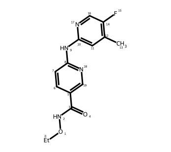 CCONC(=O)c1ccc(Nc2cc(C)c(F)cn2)nc1